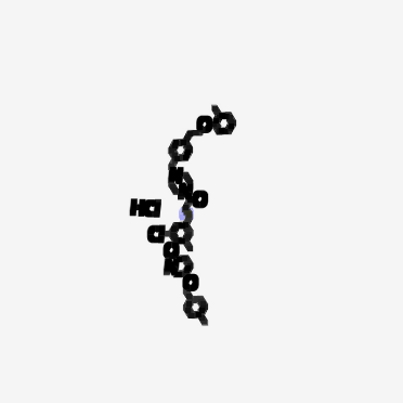 Cc1ccc(COc2ccc(Oc3c(C)cc(/C=C/C(=O)N4CCN(Cc5ccc(CCOc6ccccc6C)cc5)CC4)cc3Cl)nc2)cc1.Cl